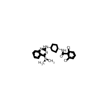 CN(C)c1nc(N[C@H]2CC[C@@H](NC(=O)c3c(Cl)cccc3Cl)CC2)nc2ccccc12